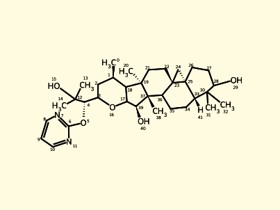 C[C@@H]1CC([C@H](Oc2ncccn2)C(C)(C)O)OC2C1[C@@]1(C)CC[C@@]34C[C@@]35CCC(O)C(C)(C)[C@@H]5CCC4[C@]1(C)[C@H]2O